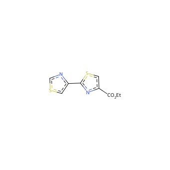 CCOC(=O)c1csc(-c2cscn2)n1